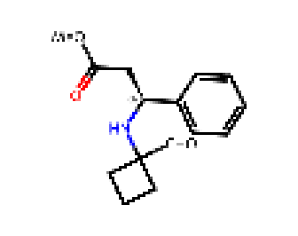 COC(=O)C[C@H](NC1(C=O)CCC1)c1ccccc1